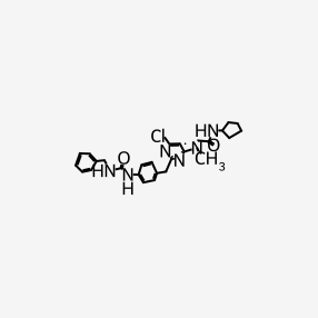 CN(CC(=O)NC1CCCC1)c1[c]c(Cl)nc(Cc2ccc(NC(=O)NCc3ccccc3)cc2)n1